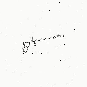 CCCCCCOCCCCCCCC(=O)Nc1cnc2ccccc2c1